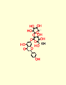 C[C@@H]1O[C@@H](O[C@H]2[C@H](Oc3cc(O)c4c(c3)OC(c3ccc(O)cc3)CC4=O)O[C@H](CO)[C@@H](O)[C@@H]2O)[C@H](O)[C@H](O)[C@H]1O.[KH]